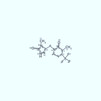 Cc1c(C(F)(F)F)ccn(Cc2n[nH]c(=O)n2C)c1=O